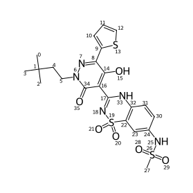 CC(C)(C)CCn1nc(-c2cccs2)c(O)c(C2=NS(=O)(=O)c3cc(NS(C)(=O)=O)ccc3N2)c1=O